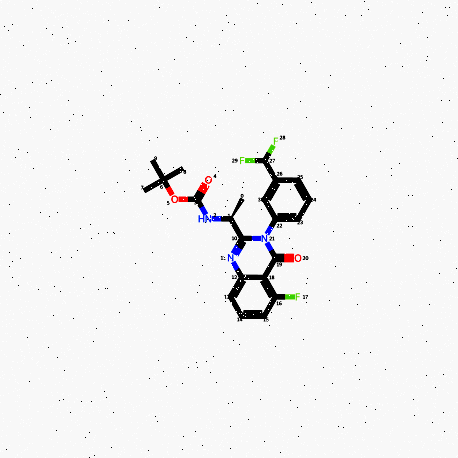 C[C@H](NC(=O)OC(C)(C)C)c1nc2cccc(F)c2c(=O)n1-c1cccc(C(F)F)c1